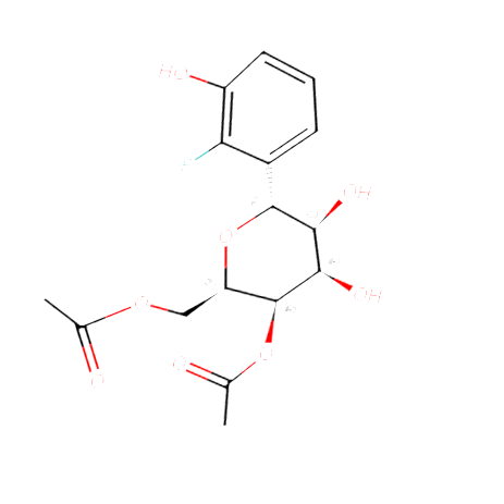 CC(=O)OC[C@H]1O[C@H](c2cccc(O)c2F)[C@@H](O)[C@@H](O)[C@H]1OC(C)=O